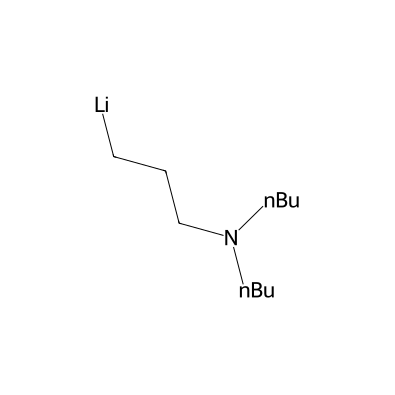 [Li][CH2]CCN(CCCC)CCCC